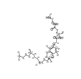 CNCONC(=O)CC[C@@H](C)NC(=O)COc1c(C)c(C)c2c(c1C)CC[C@@](C)(CCC[C@H](C)CCC[C@H](C)CCCC(C)C)O2